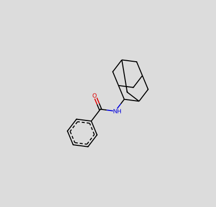 O=C(NC1C2CC3CC(C2)CC1C3)c1ccccc1